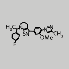 COc1cc(-c2nsc3c2CCCN3C(C)c2ccc(F)cc2)ccc1-n1cnc(C)c1